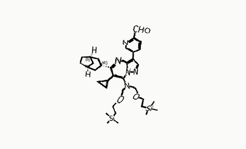 C[Si](C)(C)CCOCN(COCC[Si](C)(C)C)c1c(C2CC2)c([C@H]2C[C@@H]3CC[C@@H](C3)C2)nc2c(-c3ccc(C=O)nc3)cnn12